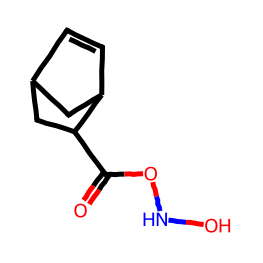 O=C(ONO)C1CC2C=CC1C2